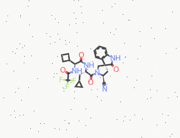 N#C[C@@H]1C[C@@]2(CN1C(=O)[C@H](CC1CC1)NC(=O)[C@@H](NC(=O)C(F)(F)F)C1CCC1)C(=O)Nc1ccccc12